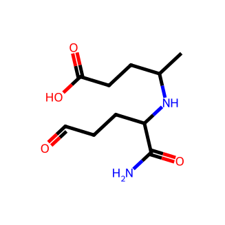 CC(CCC(=O)O)NC(CCC=O)C(N)=O